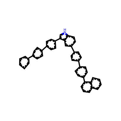 c1ccc(-c2ccc(-c3ccc(-c4c[nH]c5ccc(-c6ccc(-c7ccc(-c8cccc9ccccc89)cc7)cc6)cc45)cc3)cc2)cc1